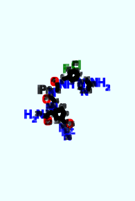 CC(C)N(CC(=O)NCc1cc(-[n+]2cncc(N)c2)cc(Cl)c1F)C(=O)Cn1nc(C(N)=O)c2cc(C(=O)N=[N+]=[N-])ccc21